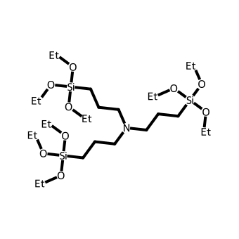 CCO[Si](CCCN(CCC[Si](OCC)(OCC)OCC)CCC[Si](OCC)(OCC)OCC)(OCC)OCC